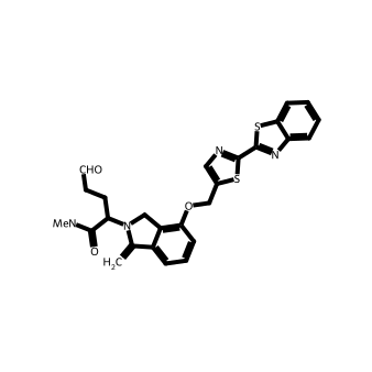 C=C1c2cccc(OCc3cnc(-c4nc5ccccc5s4)s3)c2CN1C(CCC=O)C(=O)NC